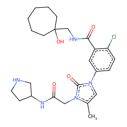 Cc1cn(-c2ccc(Cl)c(C(=O)NCC3(O)CCCCCC3)c2)c(=O)n1CC(=O)NC1CCNC1